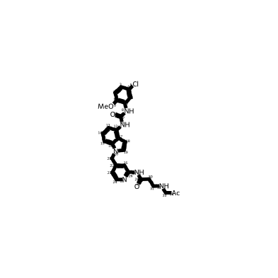 COc1ccc(Cl)cc1NC(=O)Nc1cccc2c1ccn2Cc1ccnc(NC(=O)CCNCC(C)=O)c1